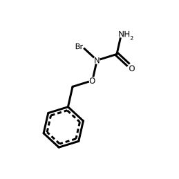 NC(=O)N(Br)OCc1ccccc1